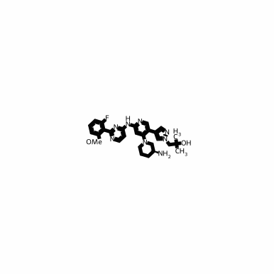 COc1cccc(F)c1-c1nccc(Nc2cc(N3CCC[C@H](N)C3)c(-c3cnn(CC(C)(C)O)c3)cn2)n1